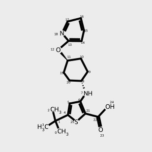 CC(C)(C)c1cc(N[C@H]2CC[C@H](Oc3ccccn3)CC2)c(C(=O)O)s1